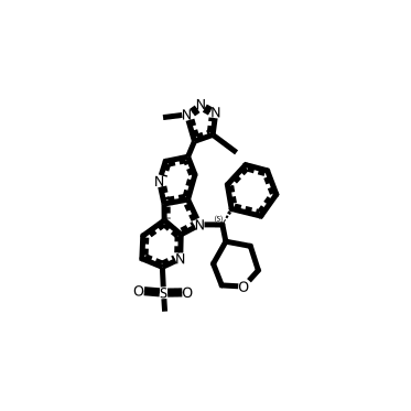 Cc1nnn(C)c1-c1cnc2c3ccc(S(C)(=O)=O)nc3n([C@H](c3ccccc3)C3CCOCC3)c2c1